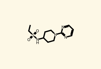 CCS(=O)(=O)NC1CCN(c2ncccn2)CC1